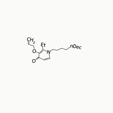 C=CCOc1c(CC)n(CCCCCCCCCCCCCC)ccc1=O